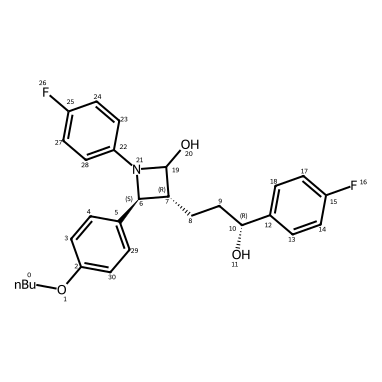 CCCCOc1ccc([C@@H]2[C@@H](CC[C@@H](O)c3ccc(F)cc3)C(O)N2c2ccc(F)cc2)cc1